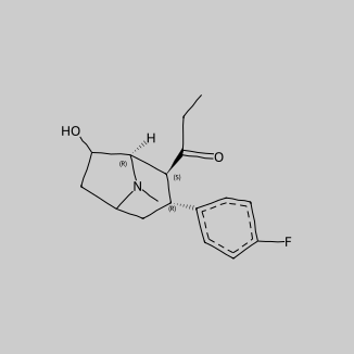 CCC(=O)[C@H]1[C@H](c2ccc(F)cc2)CC2CC(O)[C@@H]1N2C